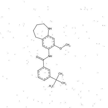 COc1cc2c(cc1NC(=O)c1cccc(C(C)(C)C)c1)CCCCN2